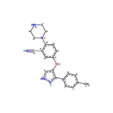 Cc1ccc(-c2n[nH]cc2Oc2ccc(N3CCNCC3)c(C#N)c2)cc1